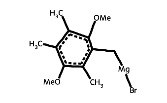 COc1c(C)c(C)c(OC)c([CH2][Mg][Br])c1C